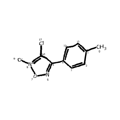 Cc1ccc(-c2no[n+]([O-])c2Cl)cc1